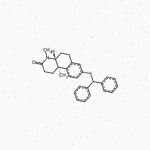 CN1C(=O)CC[C@]2(C)c3ccc(SC(c4ccccc4)c4ccccc4)cc3CC[C@@H]12